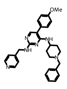 COc1ccc(-c2cnc(NCc3ccncc3)nc2NC2CCN(Cc3ccccc3)CC2)cc1